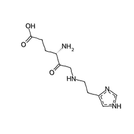 N[C@@H](CCC(=O)O)C(=O)CNCCc1c[nH]cn1